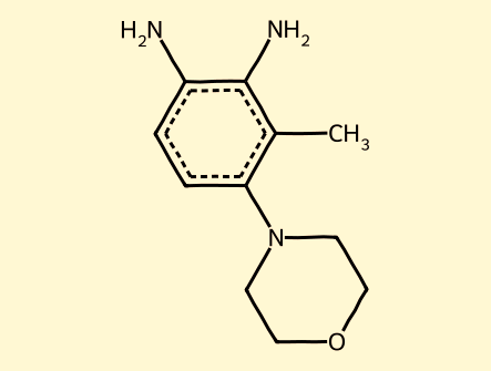 Cc1c(N2CCOCC2)ccc(N)c1N